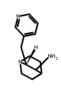 NC1C2CCN(CC2)[C@@H]1Cc1cccnc1